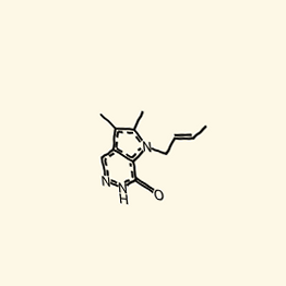 CC=CCn1c(C)c(C)c2cn[nH]c(=O)c21